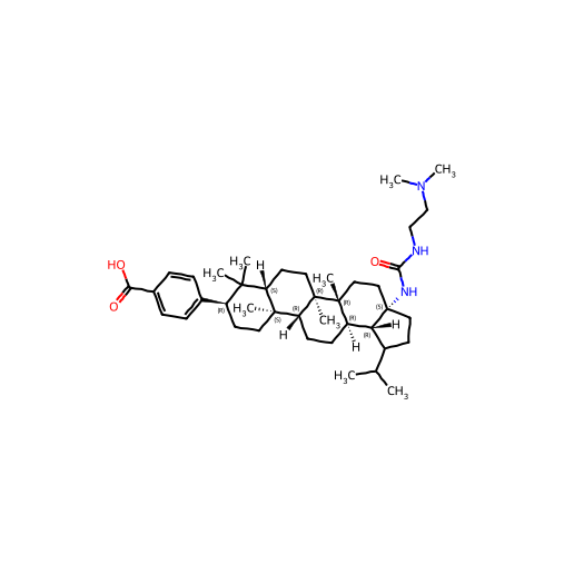 CC(C)C1CC[C@]2(NC(=O)NCCN(C)C)CC[C@]3(C)[C@H](CC[C@@H]4[C@@]5(C)CC[C@@H](c6ccc(C(=O)O)cc6)C(C)(C)[C@@H]5CC[C@]43C)[C@@H]12